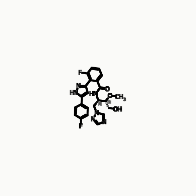 CO[C@H](CO)[C@@H](Cn1cncn1)NC(=O)c1cccc(F)c1-c1cc(-c2ccc(F)cc2)[nH]n1